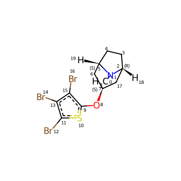 CN1[C@@H]2CC[C@H]1C[C@H](Oc1sc(Br)c(Br)c1Br)C2